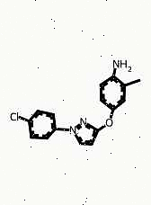 Cc1cc(Oc2ccn(-c3ccc(Cl)cc3)n2)ccc1N